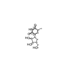 Cc1cn(C2CC(CO)C(O)C2O)c(=O)[nH]c1=O